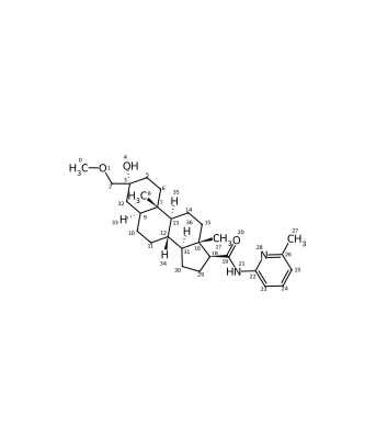 COC[C@@]1(O)CC[C@@]2(C)[C@@H](CC[C@@H]3[C@@H]2CC[C@]2(C)[C@@H](C(=O)Nc4cccc(C)n4)CC[C@@H]32)C1